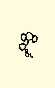 COc1ccccc1C=C1c2ccccc2CCc2ccccc21